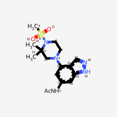 CC(=O)Nc1cc(N2CCN(S(C)(=O)=O)C(C)(C)C2)c2cn[nH]c2c1